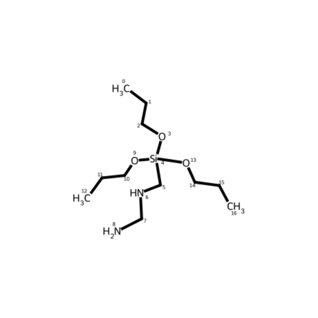 CCCO[Si](CNCN)(OCCC)OCCC